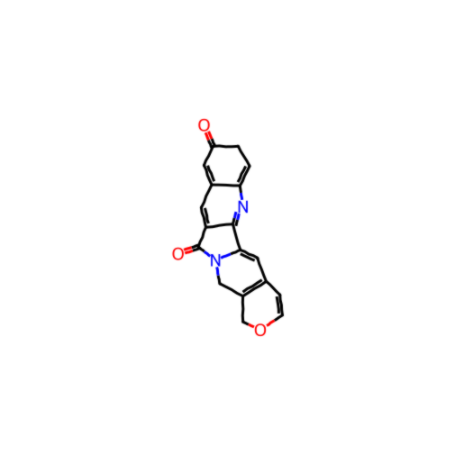 O=C1C=c2cc3c(nc2=CC1)C1=CC2=C(COC=C2)CN1C3=O